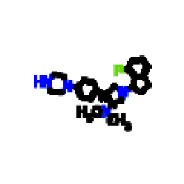 CN(C)[C@H]1CN(C2CCc3cccc(F)c32)C[C@@H]1c1ccc(N2CCNCC2)cc1